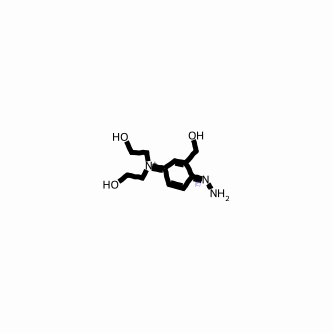 N/N=C1\C=CC(=[N+](CCO)CCO)C=C1CO